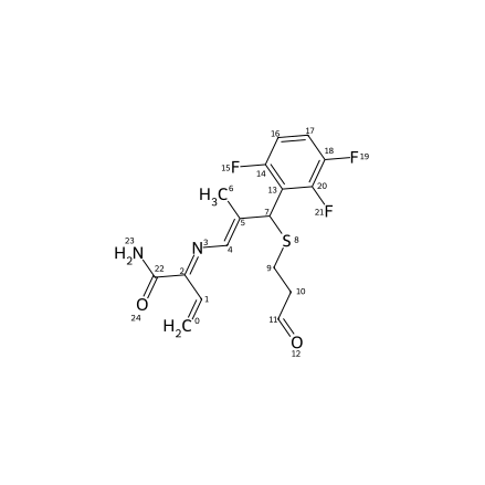 C=C/C(=N\C=C(/C)C(SCCC=O)c1c(F)ccc(F)c1F)C(N)=O